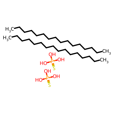 CCCCCCCCCCCCCCCC.CCCCCCCCCCCCCCCC.OP(O)(O)=S.OP(O)(O)=S